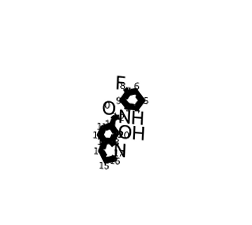 O=C(Nc1cccc(F)c1)c1ccc2cccnc2c1O